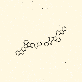 c1ccc2c(c1)oc1cc3c(cc12)c1cccc2c4cc5c(cc4n3c12)oc1cc(-c2ccc3oc4c(ccc6c4c4cccc7c8c9oc%10ccccc%10c9ccc8n6c74)c3c2)ccc15